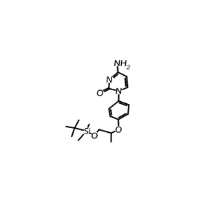 CC(CO[Si](C)(C)C(C)(C)C)Oc1ccc(-n2ccc(N)nc2=O)cc1